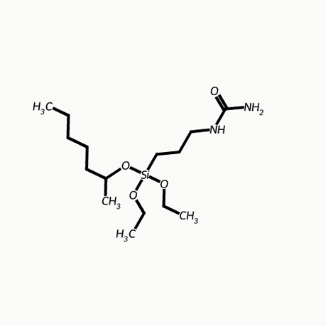 CCCCCC(C)O[Si](CCCNC(N)=O)(OCC)OCC